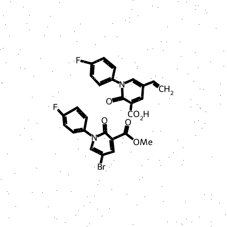 C=Cc1cc(C(=O)O)c(=O)n(-c2ccc(F)cc2)c1.COC(=O)c1cc(Br)cn(-c2ccc(F)cc2)c1=O